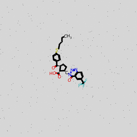 CCCCCSc1ccc(C(=O)[C@H]2CC[C@@H](Cn3nnc4ccc(C(F)(F)F)cc4c3=O)[C@@H]2C(=O)O)cc1